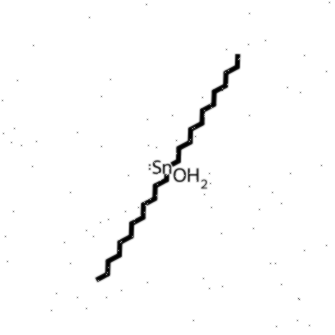 CCCCCCCCCCC[CH2][Sn][CH2]CCCCCCCCCCC.O